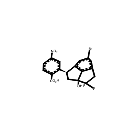 O=C(O)c1ccc([N+](=O)[O-])cc1[C@@H]1C[C@]2(O)c3c(cc(Br)cc31)CC2(F)F